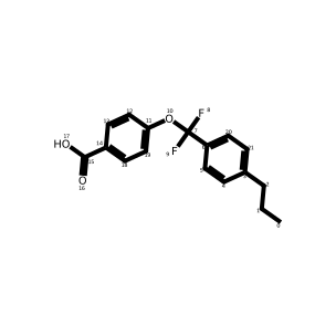 CCCc1ccc(C(F)(F)Oc2ccc(C(=O)O)cc2)cc1